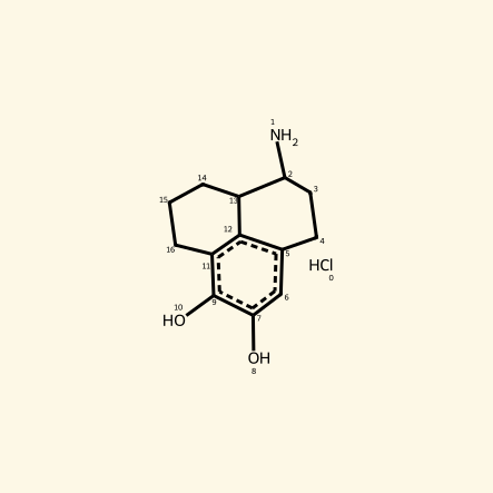 Cl.NC1CCc2cc(O)c(O)c3c2C1CCC3